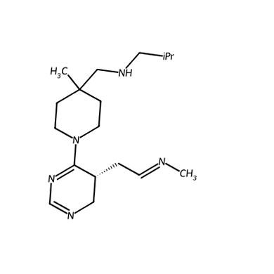 C/N=C/C[C@@H]1CN=CN=C1N1CCC(C)(CNCC(C)C)CC1